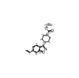 C=Cc1ccc2c(N3CCN(C(=O)OC(C)(C)C)CC3)noc2c1